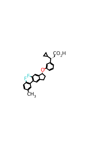 Cc1ccc(F)c(-c2cc3c(cc2F)[C@H](Oc2cccc([C@@H](CC(=O)O)C4CC4)c2)CC3)c1